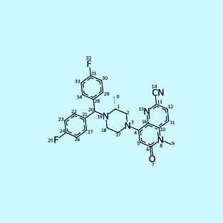 C[C@@H]1CN(c2cc(=O)n(C)c3ccc(C#N)nc23)CCN1C(c1ccc(F)cc1)c1ccc(F)cc1